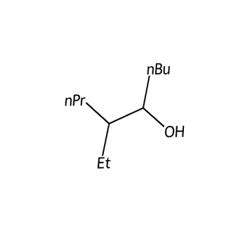 CCCCC(O)C(CC)CCC